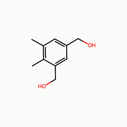 Cc1cc(CO)cc(CO)c1C